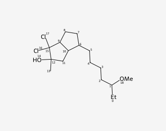 CCC(CCCCC1CCC2C1CC(C)(O)C2(Cl)Cl)OC